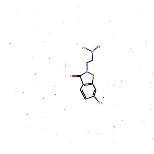 CCc1ccc2c(=O)n(CCN(CC)CC)sc2c1